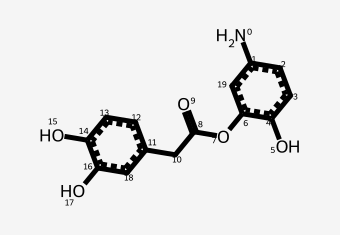 Nc1ccc(O)c(OC(=O)Cc2ccc(O)c(O)c2)c1